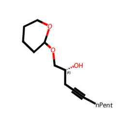 CCCCCC#CC[C@@H](O)COC1CCCCO1